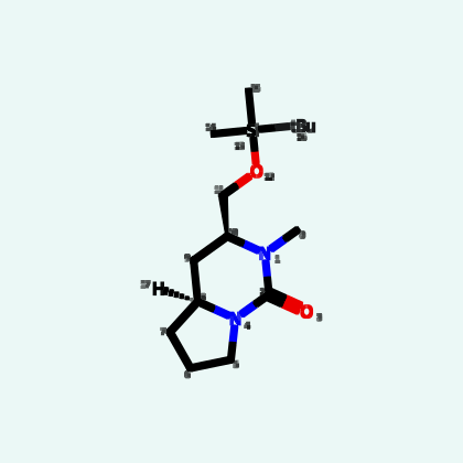 CN1C(=O)N2CCC[C@H]2C[C@H]1CO[Si](C)(C)C(C)(C)C